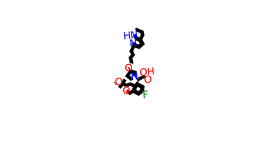 COC(C)(C)C1Cc2c(cc(F)cc2[C@H](C(=O)O)N2CC[C@@H](OCCCCc3ccc4c(n3)NCCC4)C2)CO1